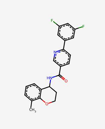 Cc1cccc2c1OCCC2NC(=O)c1ccc(-c2cc(F)cc(F)c2)nc1